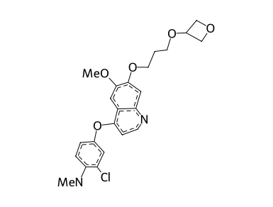 CNc1ccc(Oc2ccnc3cc(OCCCOC4COC4)c(OC)cc23)cc1Cl